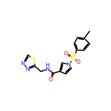 Cc1ccc(S(=O)(=O)n2ccc(C(=O)NCc3nncs3)c2)cc1